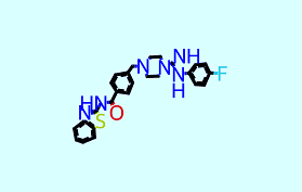 N=C(Nc1ccc(F)cc1)N1CCN(Cc2ccc(C(=O)Nc3nc4ccccc4s3)cc2)CC1